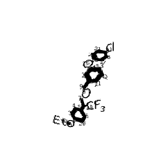 CCOc1ccc([C@@H](COCc2cccc(Oc3ccc(Cl)cc3)c2)C(F)(F)F)cc1